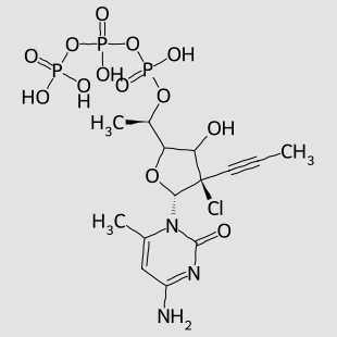 CC#C[C@@]1(Cl)C(O)C([C@@H](C)OP(=O)(O)OP(=O)(O)OP(=O)(O)O)O[C@H]1n1c(C)cc(N)nc1=O